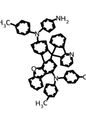 Cc1ccc(N(c2ccc(N)cc2)c2ccc3c(c2)C2(c4ccccc4-c4ncccc42)c2cc(N(c4ccc(C)cc4)c4ccc(C#N)cc4)c4c(oc5ccccc54)c2-3)cc1